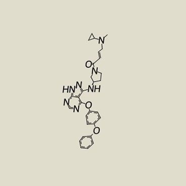 CN(CC=CC(=O)N1CC[C@@H](Nc2n[nH]c3ncnc(Oc4ccc(Oc5ccccc5)cc4)c23)C1)C1CC1